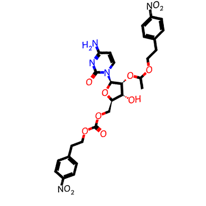 CC(OCCc1ccc([N+](=O)[O-])cc1)O[C@@H]1[C@H](O)[C@@H](COC(=O)OCCc2ccc([N+](=O)[O-])cc2)O[C@H]1n1ccc(N)nc1=O